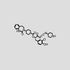 O=C(N=C=C=NC1CCNCC1)[C@@H](Cc1ccc(O)c(Cl)c1)OC(=O)N1CCC(N2CCc3ccccc3NC2=O)CC1